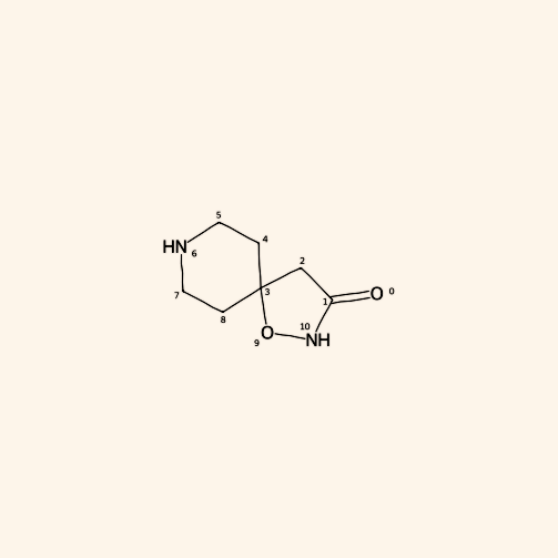 O=C1CC2(CCNCC2)ON1